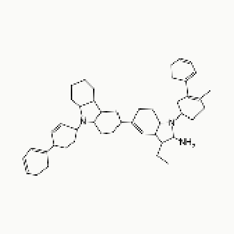 CCC1C2C=C(C3CCC4C(C3)C3CCCCC3N4C3C=CC(C4=CC=CCC4)CC3)CCC2N(C2CCC(C)=C(C3=CC=CCC3)C2)C1N